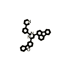 c1cncc(-c2cccc(-c3nc(-c4ccc5oc6ccccc6c5c4)cc(-c4ccc5c6c(cccc46)-c4ccccc4-5)n3)c2)c1